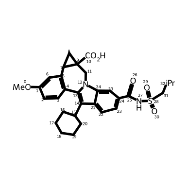 COc1ccc2c(c1)C1CC1(C(=O)O)Cn1c-2c(C2CCCCC2)c2ccc(C(=O)NS(=O)(=O)CC(C)C)cc21